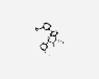 Cc1cccc(C(=O)N[C@@H](C)c2nc(-c3ccnc(C4CC4)c3)no2)c1